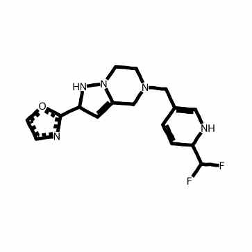 FC(F)C1C=CC(CN2CCN3NC(c4ncco4)C=C3C2)=CN1